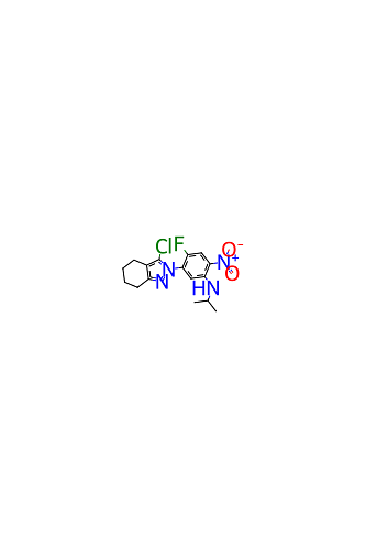 CC(C)Nc1cc(-n2nc3c(c2Cl)CCCC3)c(F)cc1[N+](=O)[O-]